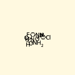 COC[C@@]1(c2cc(NC(=O)c3ccc(Cl)cn3)ccc2F)N=C(N)O[C@H]2C[C@H]21